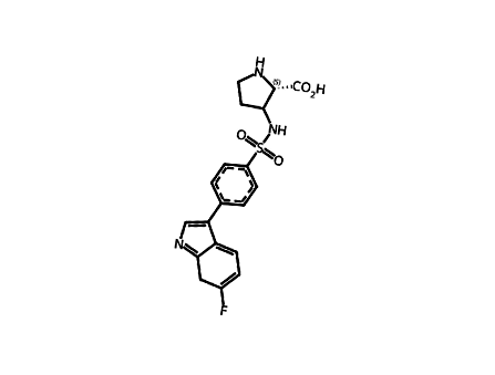 O=C(O)[C@H]1NCCC1NS(=O)(=O)c1ccc(C2=CN=C3CC(F)=CC=C23)cc1